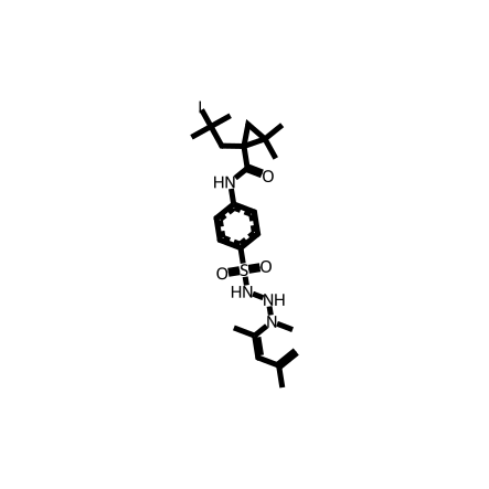 C=C(C)/C=C(/C)N(C)NNS(=O)(=O)c1ccc(NC(=O)C2(CC(C)(C)I)CC2(C)C)cc1